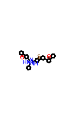 c1ccc(C2NC(c3ccc4c(c3)sc3ccc(-c5cccc6c5oc5ccccc56)cc34)=NC(c3ccc4c(c3)oc3ccccc34)N2)cc1